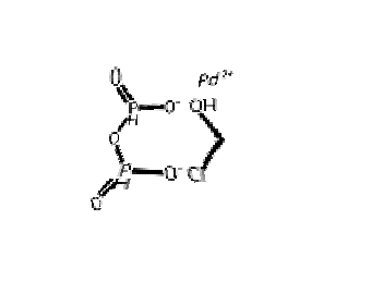 O=[PH]([O-])O[PH](=O)[O-].OCCl.[Pd+2]